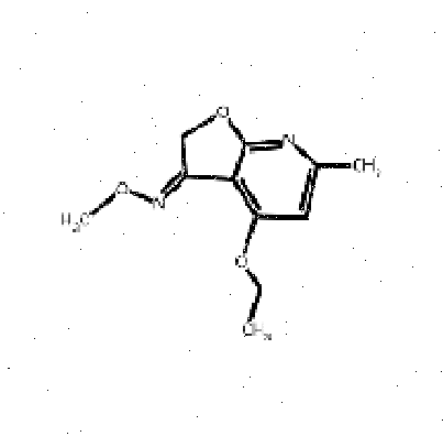 CCOc1cc(C)nc2c1C(=NOC)CO2